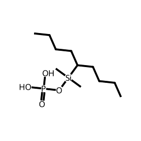 CCCCC(CCCC)[Si](C)(C)OP(=O)(O)O